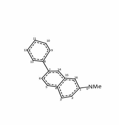 CNc1ccc2ccc(-c3ccccc3)cc2c1